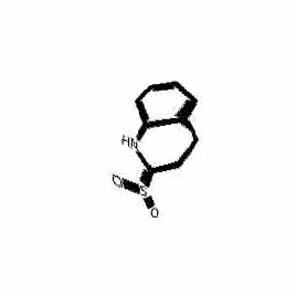 O=S(=O)=C1CCc2ccccc2N1